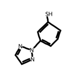 Sc1cccc(-n2nccn2)c1